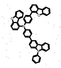 c1ccc(-n2c3ccccc3c3cc(-c4ccc(N(c5ccc(-c6cccc7c6oc6ccccc67)cc5)c5cccc6oc7ccccc7c56)cc4)ccc32)cc1